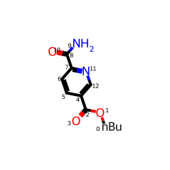 CCCCOC(=O)c1ccc(C(N)=O)nc1